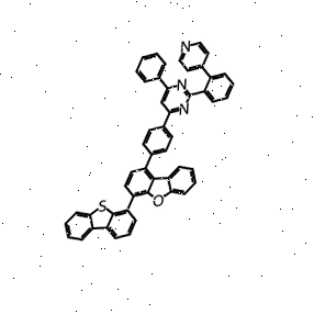 c1ccc(-c2cc(-c3ccc(-c4ccc(-c5cccc6c5sc5ccccc56)c5oc6ccccc6c45)cc3)nc(-c3ccccc3-c3ccncc3)n2)cc1